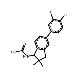 CC1(C)Cc2cc(-c3ccc(Cl)c(F)c3)ccc2C1NC(=O)O